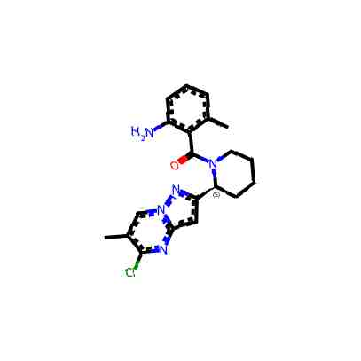 Cc1cn2nc([C@@H]3CCCCN3C(=O)c3c(C)cccc3N)cc2nc1Cl